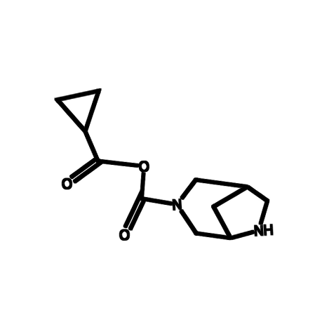 O=C(OC(=O)N1CC2CNC(C2)C1)C1CC1